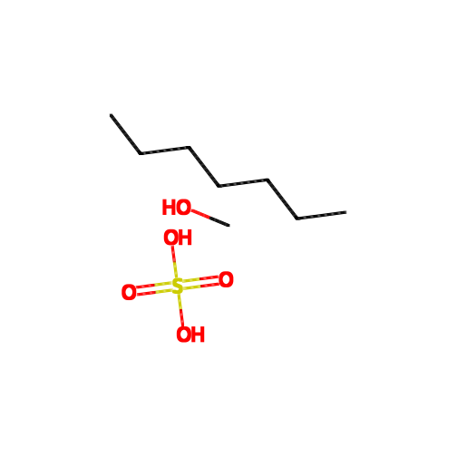 CCCCCCC.CO.O=S(=O)(O)O